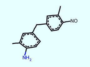 Cc1cc(Cc2ccc(N=O)c(C)c2)ccc1N